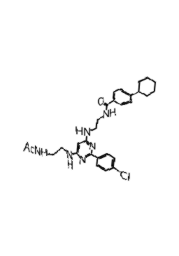 CC(=O)NCCNc1cc(NCCNC(=O)c2ccc(C3CCCCC3)cc2)nc(-c2ccc(Cl)cc2)n1